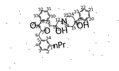 CCCc1cccc(CC(OCC(O)CN2CCC(O)(c3ccccc3)CC2)C(=O)c2ccccc2)c1